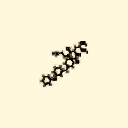 CCCN1C(=O)C(CC(C)C)NC(=O)C12CCN(Cc1cccc(Oc3ccccc3)c1)CC2